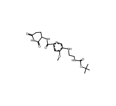 COc1cc(C(=O)NC2CCC(=O)NC2=O)ncc1NCCNC(=O)OC(C)(C)C